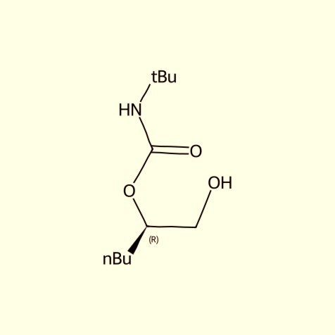 CCCC[C@H](CO)OC(=O)NC(C)(C)C